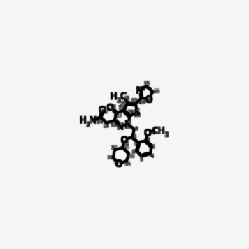 COc1ccccc1C(Cn1nc(CC(N)=O)c(=O)c2c(C)c(C3=NCCO3)sc21)OC1CCOCC1